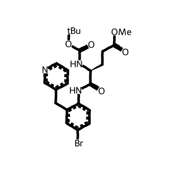 COC(=O)CC[C@H](NC(=O)OC(C)(C)C)C(=O)Nc1ccc(Br)cc1Cc1cccnc1